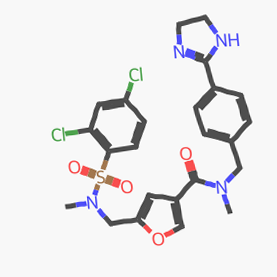 CN(Cc1ccc(C2=NCCN2)cc1)C(=O)c1coc(CN(C)S(=O)(=O)c2ccc(Cl)cc2Cl)c1